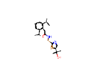 CC(C)c1cccc(C(C)C)c1CC(=O)NSc1ncc(C(C)(C)O)s1